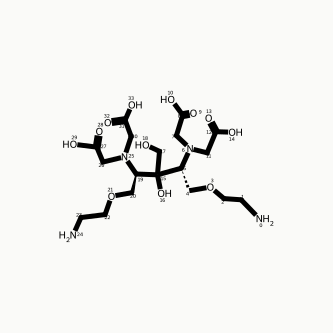 NCCOC[C@@H](N(CC(=O)O)CC(=O)O)C(O)(CO)[C@@H](COCCN)N(CC(=O)O)CC(=O)O